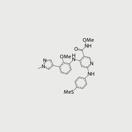 CONC(=O)c1cnc(Nc2ccc(SC)cc2)cc1Nc1cccc(-c2cnn(C)c2)c1OC